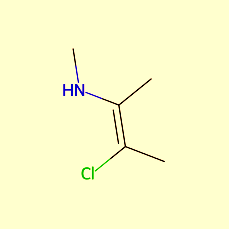 CN/C(C)=C(/C)Cl